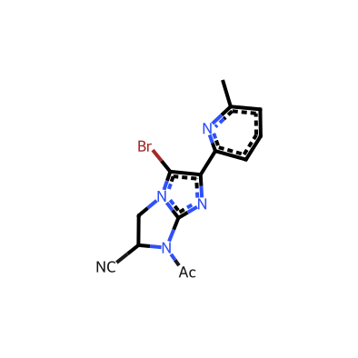 CC(=O)N1c2nc(-c3cccc(C)n3)c(Br)n2CC1C#N